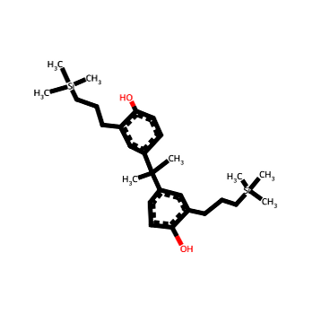 CC(C)(c1ccc(O)c(CCC[Si](C)(C)C)c1)c1ccc(O)c(CCC[Si](C)(C)C)c1